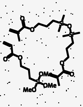 C=C(C)C(=O)OCCC[Si](C)(C)O[Si](C)(C)CCCOC(=O)C(=C)C.C=CC(=O)OCCC[Si](OC)(OC)OC